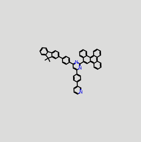 CC1(C)c2ccccc2-c2ccc(-c3ccc(-c4cc(-c5ccc(-c6cccnc6)cc5)nc(-c5cc6c7ccccc7c7ccccc7c6c6ccccc56)n4)cc3)cc21